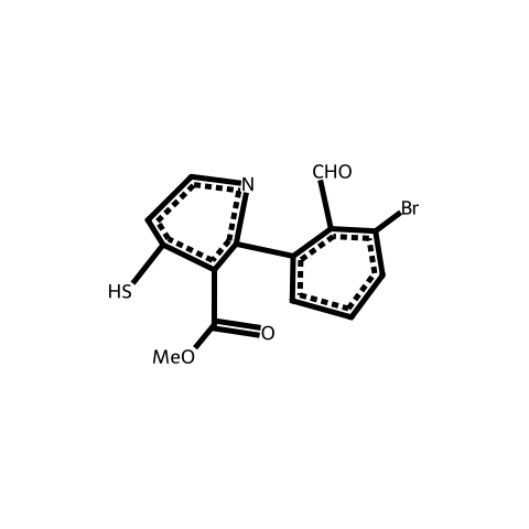 COC(=O)c1c(S)ccnc1-c1cccc(Br)c1C=O